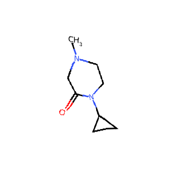 CN1CCN(C2CC2)C(=O)C1